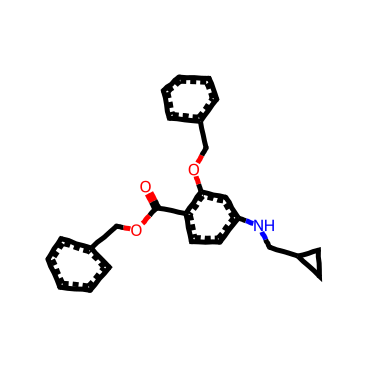 O=C(OCc1ccccc1)c1ccc(NCC2CC2)cc1OCc1ccccc1